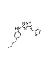 CCCCc1ccc(Nc2n[nH]c(SCc3cccs3)n2)cc1